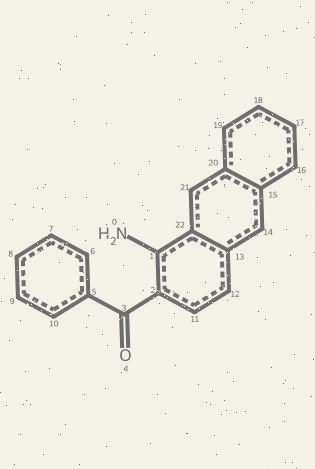 Nc1c(C(=O)c2ccccc2)ccc2cc3ccccc3cc12